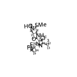 CSc1cc(NC(=O)c2c(C(F)(F)F)c(C3CC3)nn2CC23CC(CC2(F)F)C3)cc[n+]1O